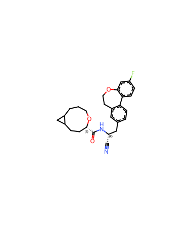 N#C[C@@H](Cc1ccc2c(c1)CCOc1cc(F)ccc1-2)NC(=O)[C@@H]1CCC2CC2CCCO1